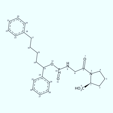 O=C(O)[C@@H]1CCCN1C(=O)CN[PH](=O)OC(CCCCc1ccccc1)c1ccccc1